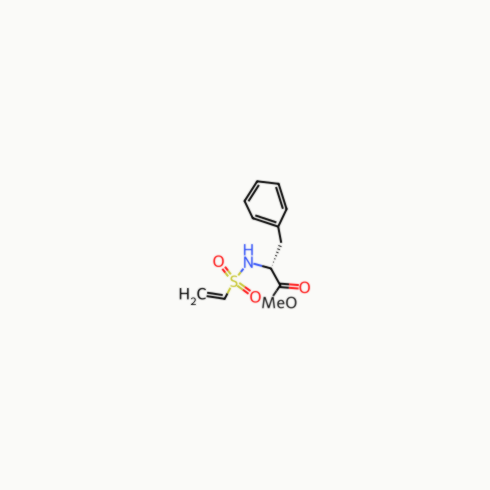 C=CS(=O)(=O)N[C@H](Cc1ccccc1)C(=O)OC